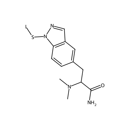 CN(C)C(Cc1ccc2c(cnn2SI)c1)C(N)=O